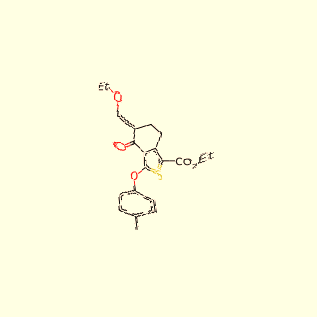 CCOC=C1CCc2c(C(=O)OCC)sc(Oc3ccc(C)cc3)c2C1=O